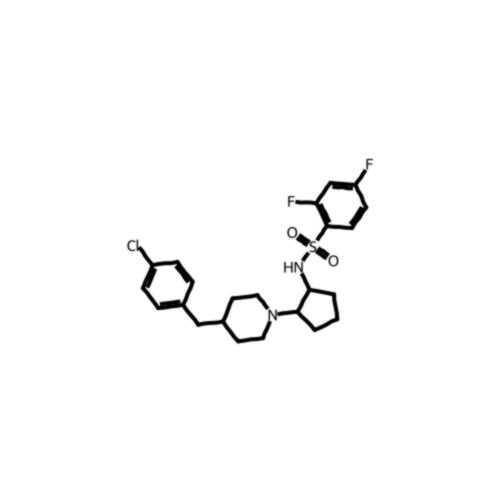 O=S(=O)(NC1CCCC1N1CCC(Cc2ccc(Cl)cc2)CC1)c1ccc(F)cc1F